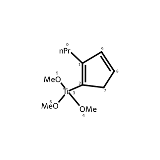 CCCC1=[C]([Ti]([O]C)([O]C)[O]C)CC=C1